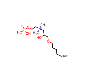 CCCCCCCCCCCCCCOCC(O)C[N+](C)(C)CCOP(=O)(O)O